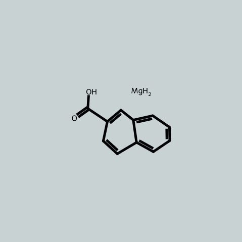 O=C(O)c1ccc2ccccc2c1.[MgH2]